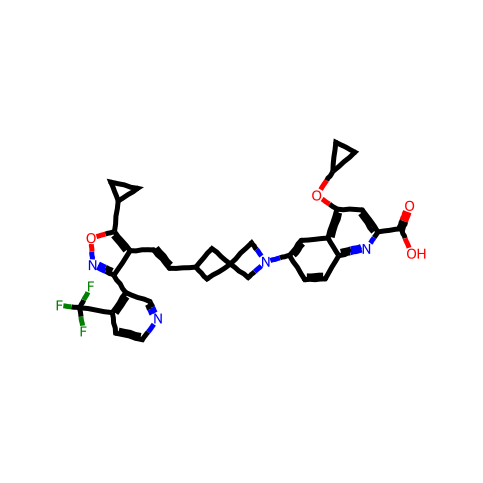 O=C(O)c1cc(OC2CC2)c2cc(N3CC4(CC(C=Cc5c(-c6cnccc6C(F)(F)F)noc5C5CC5)C4)C3)ccc2n1